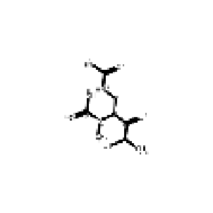 CC(C)C(=O)NC[C@@H](C(=O)C(C)I)N(C)C(=O)S